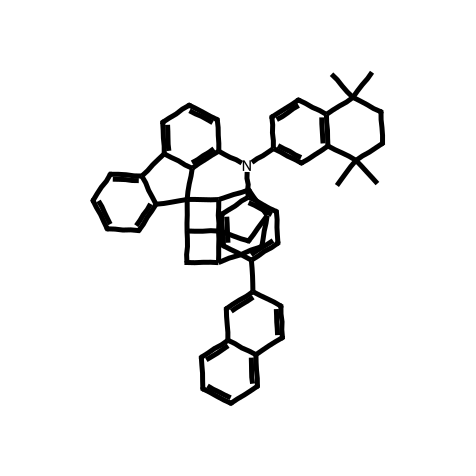 CC1(C)CCC(C)(C)c2cc(N(c3ccc(-c4ccc5ccccc5c4)cc3)c3cccc4c3C3(c5ccccc5-4)C4CC5CC6CC3C64C5)ccc21